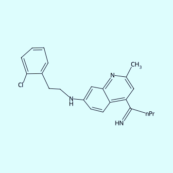 CCCC(=N)c1cc(C)nc2cc(NCCc3ccccc3Cl)ccc12